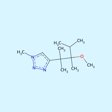 COC(C)(C(C)C)C(C)(C)c1cn(C)nn1